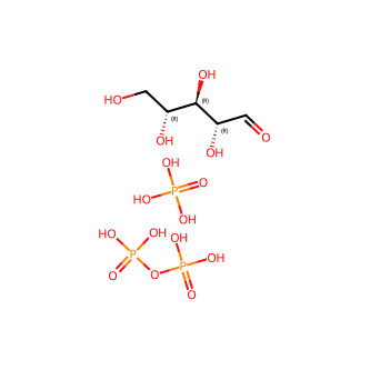 O=C[C@H](O)[C@H](O)[C@H](O)CO.O=P(O)(O)O.O=P(O)(O)OP(=O)(O)O